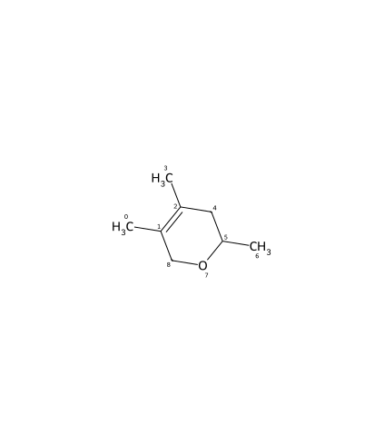 CC1=C(C)CC(C)OC1